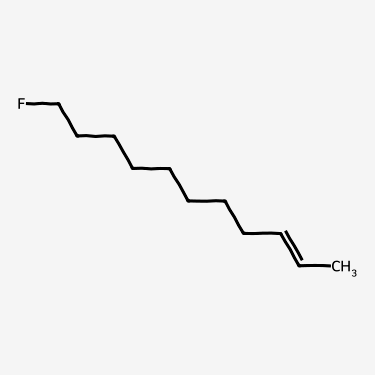 CC=CCCCCCCCCF